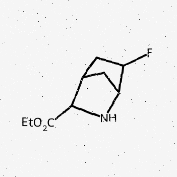 CCOC(=O)C1NC2CC1CC2F